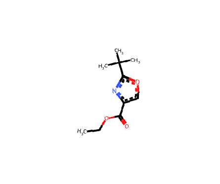 CCOC(=O)c1coc(C(C)(C)C)n1